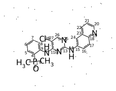 CP(C)(=O)c1ccccc1Nc1nc(Nc2ccc3ncccc3c2)ncc1Cl